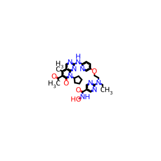 CCN(CCOc1ccc(Nc2ncc3c(C)c(C(C)=O)c(=O)n(C4CCCC4)c3n2)nc1)c1ncc(C(=O)NO)cn1